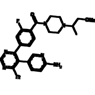 CCc1ncnc(-c2ccc(C(=O)N3CCN(C(C)COC)CC3)c(F)c2)c1-c1ccc(N)nc1